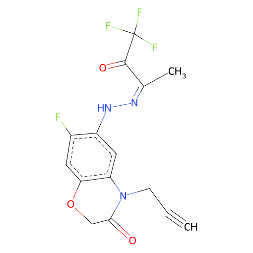 C#CCN1C(=O)COc2cc(F)c(NN=C(C)C(=O)C(F)(F)F)cc21